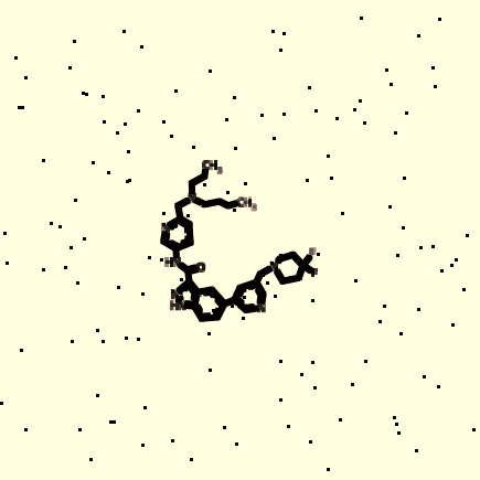 CCCCN(CCC)Cc1ccc(NC(=O)c2n[nH]c3ccc(-c4cncc(CN5CCC(F)(F)CC5)c4)cc23)cn1